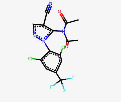 CC(=O)N(C(C)=O)c1c(C#N)cnn1-c1c(Cl)cc(C(F)(F)F)cc1Cl